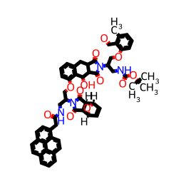 Cc1cccc(OCC(CNC(=O)OC(C)(C)C)N2C(=O)C3Cc4cccc(OCC(CNC(=O)Cc5ccc6ccc7cccc8ccc5c6c78)N5C(=O)C6[C@@H](C5=O)[C@@H]5C=C[C@H]6O5)c4C(O)C3C2=O)c1C=O